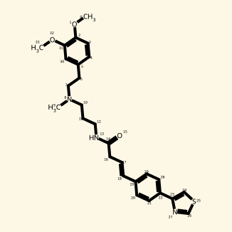 COc1ccc(CCN(C)CCCNC(=O)C/C=C/c2ccc(-c3cscn3)cc2)cc1OC